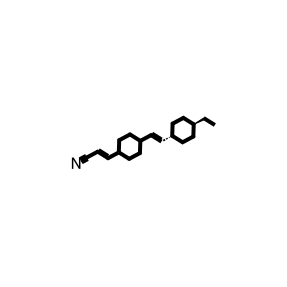 CC[C@H]1CC[C@H](C=CC2CCC(C=CC#N)CC2)CC1